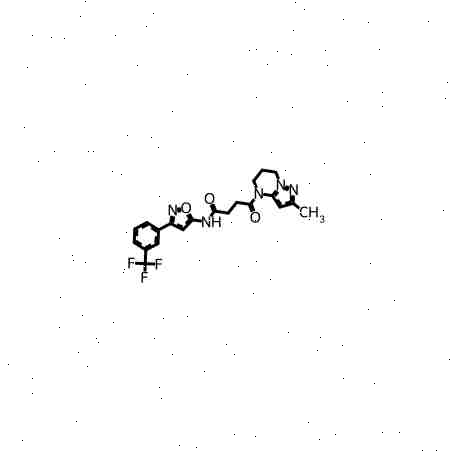 Cc1cc2n(n1)CCCN2C(=O)CCC(=O)Nc1cc(-c2cccc(C(F)(F)F)c2)no1